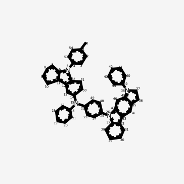 Cc1ccc(-n2c3ccccc3c3cc(N(c4ccccc4)c4ccc(-n5c6ccccc6c6cc7ccn(-c8ccccc8)c7cc65)cc4)ccc32)cc1